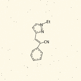 CCn1ccc(C=C(C#N)c2ccccc2)n1